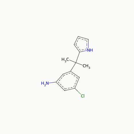 CC(C)(c1cc(N)cc(Cl)c1)c1ccc[nH]1